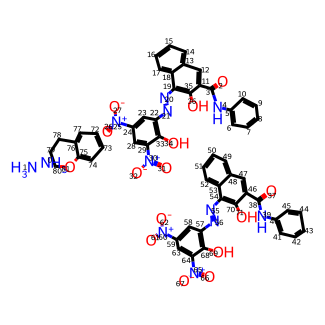 N.N.O=C(Nc1ccccc1)c1cc2ccccc2c(N=Nc2cc([N+](=O)[O-])cc([N+](=O)[O-])c2O)c1O.O=C(Nc1ccccc1)c1cc2ccccc2c(N=Nc2cc([N+](=O)[O-])cc([N+](=O)[O-])c2O)c1O.c1ccc2c(c1)CCCO2